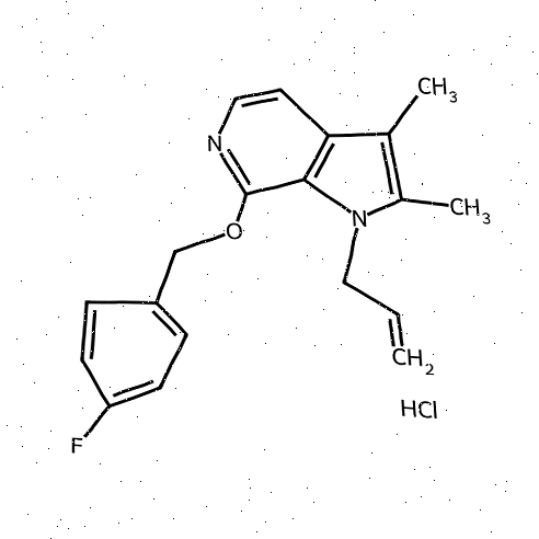 C=CCn1c(C)c(C)c2ccnc(OCc3ccc(F)cc3)c21.Cl